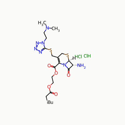 CCC(C)CC(=O)OCCOC(=O)C1=C(CSc2nnnn2CCN(C)C)CS[C@H]2[C@H](N)C(=O)N12.Cl.Cl